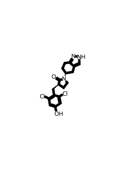 O=C1[C@H](Cc2c(Cl)cc(O)cc2Cl)CCN1[C@@H]1CCc2n[nH]cc2C1